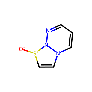 [O-][S+]1C=CN2C=CC=NN21